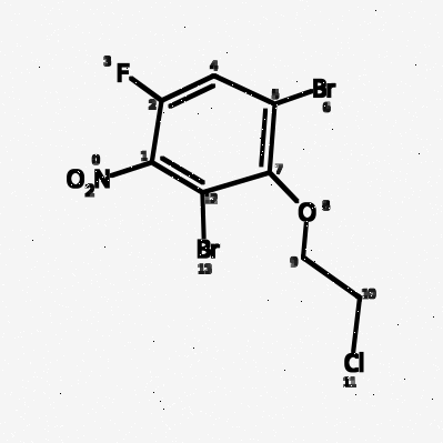 O=[N+]([O-])c1c(F)cc(Br)c(OCCCl)c1Br